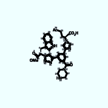 COC(=O)[C@H](Cc1c[nH]c2ccccc12)n1cc(-c2cc(C(=O)N3CCNCC3)cc(-c3cn([C@@H](CCC(C)=O)C(=O)O)nn3)c2)nn1